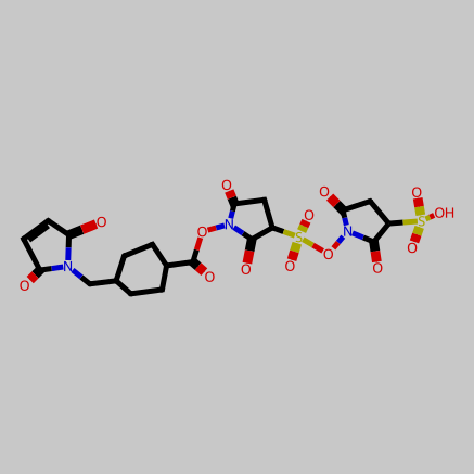 O=C(ON1C(=O)CC(S(=O)(=O)ON2C(=O)CC(S(=O)(=O)O)C2=O)C1=O)C1CCC(CN2C(=O)C=CC2=O)CC1